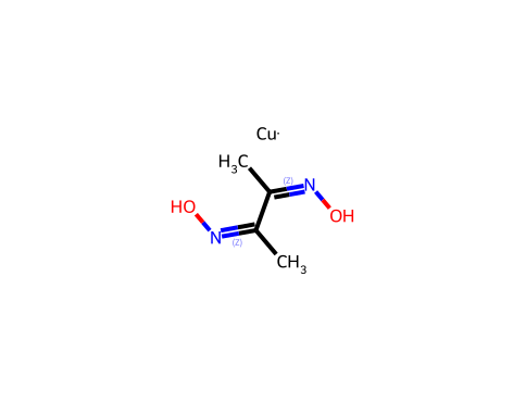 CC(=N/O)/C(C)=N\O.[Cu]